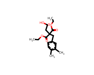 CCOC(=O)C(CC(=O)O)(Cc1ccc(C)c(C)c1)C(=O)OCC